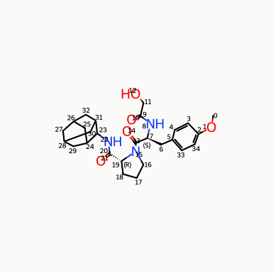 COc1ccc(C[C@H](NC(=O)CO)C(=O)N2CCC[C@@H]2C(=O)NC2C3CC4CC(C3)CC2C4)cc1